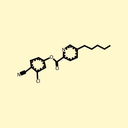 CCCCCc1ccc(C(=O)Oc2ccc(C#N)c(Cl)c2)nc1